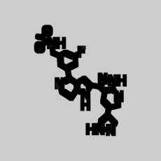 CS(=O)(=O)NCc1cc(F)cc(-c2nccc3[nH]c(-c4n[nH]c5ncc(-c6cn[nH]c6)cc45)cc23)c1